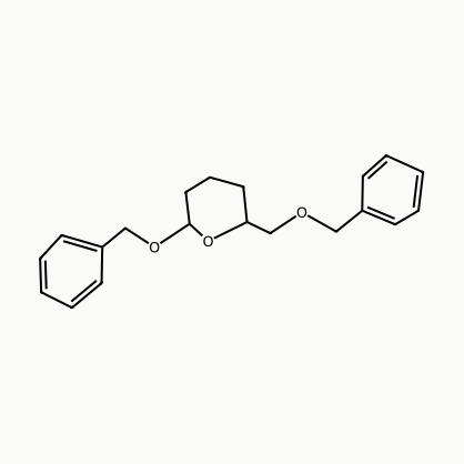 c1ccc(COCC2CCCC(OCc3ccccc3)O2)cc1